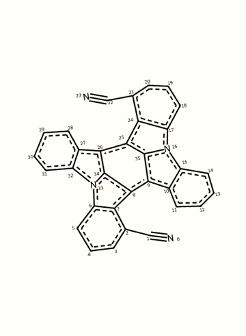 N#Cc1cccc2c1c1c3c4ccccc4n4c5cccc(C#N)c5c(c5c6ccccc6n2c51)c34